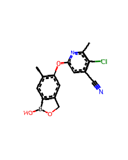 Cc1cc2c(cc1Oc1cc(C#N)c(Cl)c(C)n1)COB2O